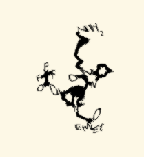 CCN(CC)C(=O)Cn1cc(-c2nc3ccccc3n(CCCCCN)c2=O)c2ccccc21.O=C(O)C(F)(F)F